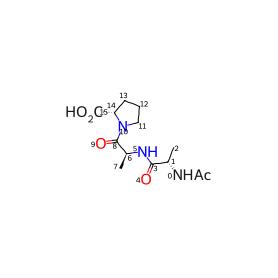 CC(=O)N[C@@H](C)C(=O)N[C@@H](C)C(=O)N1CCC[C@H]1C(=O)O